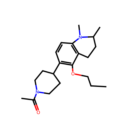 CCCOc1c(C2CCN(C(C)=O)CC2)ccc2c1CCC(C)N2C